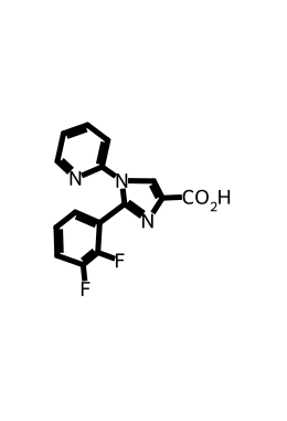 O=C(O)c1cn(-c2ccccn2)c(-c2cccc(F)c2F)n1